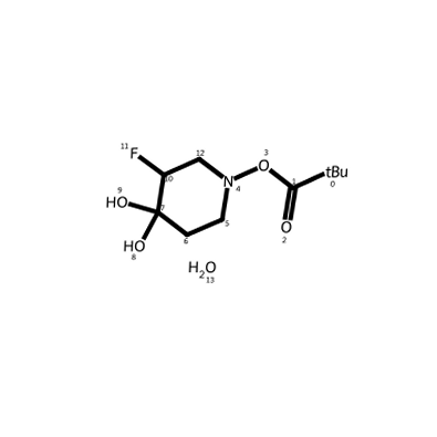 CC(C)(C)C(=O)ON1CCC(O)(O)C(F)C1.O